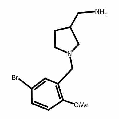 COc1ccc(Br)cc1CN1CCC(CN)C1